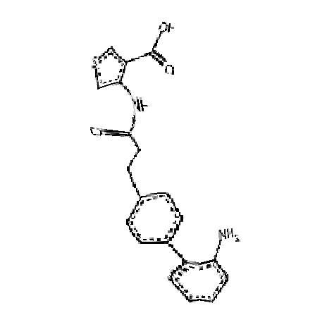 Nc1ccccc1-c1ccc(CCC(=O)Nc2cscc2C(=O)O)cc1